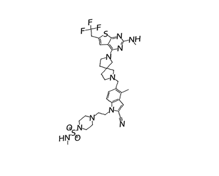 CNc1nc(N2CCC3(CCN(Cc4ccc5c(cc(C#N)n5CCN5CCN(S(=O)(=O)NC)CC5)c4C)C3)C2)c2cc(CC(F)(F)F)sc2n1